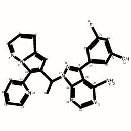 CC(c1cc2cccnn2c1-c1ccccn1)n1nc(-c2cc(O)cc(F)c2)c2c(N)ncnc21